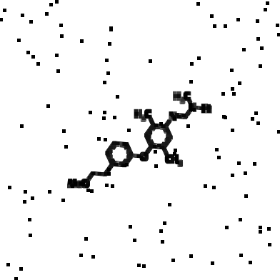 CCN(C)C=Nc1cc(C)c(Oc2cccc(CCOC)c2)cc1C